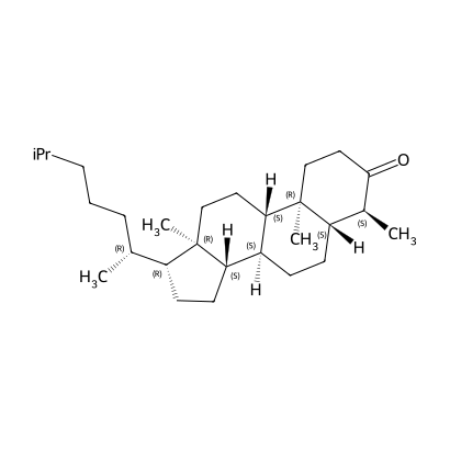 CC(C)CCC[C@@H](C)[C@H]1CC[C@H]2[C@@H]3CC[C@H]4[C@H](C)C(=O)CC[C@]4(C)[C@H]3CC[C@]12C